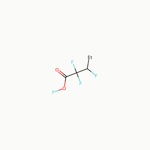 CCC(F)C(F)(F)C(=O)OF